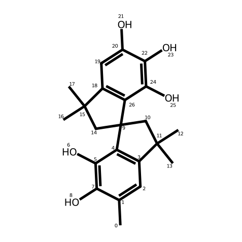 Cc1cc2c(c(O)c1O)C1(CC2(C)C)CC(C)(C)c2cc(O)c(O)c(O)c21